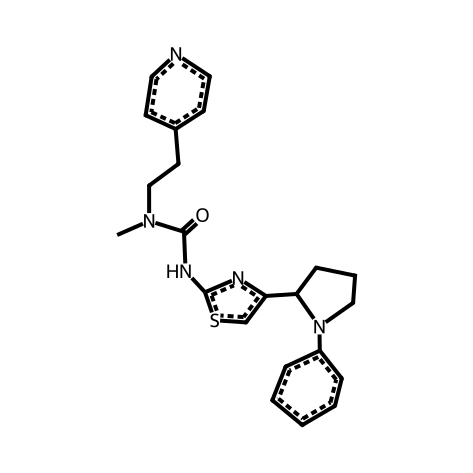 CN(CCc1ccncc1)C(=O)Nc1nc(C2CCCN2c2ccccc2)cs1